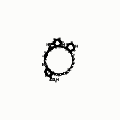 O=C(O)c1ccc2cc1CCCCCCCCCC1CNCCC1Nc1cccc3[nH]c(cc13)C#CCN2